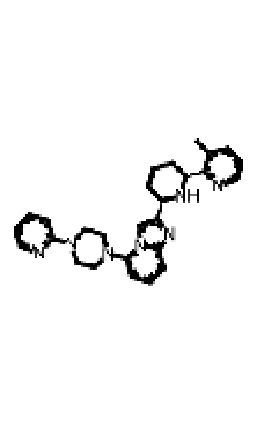 Cc1cccnc1[C@@H]1CCC[C@H](c2cn3c(N4CCN(c5ccccn5)CC4)cccc3n2)N1